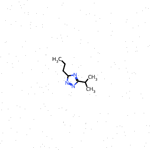 CCCC1N=NC(C(C)C)=N1